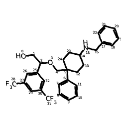 OCC(OCC1(c2ccccc2)CCC(NCc2ccccc2)CC1)c1cc(C(F)(F)F)cc(C(F)(F)F)c1